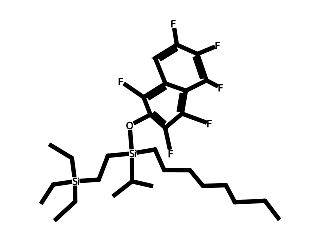 CCCCCCCC[Si](CC[Si](CC)(CC)CC)(Oc1c(F)c(F)c2c(F)c(F)c(F)[c]c2c1F)C(C)C